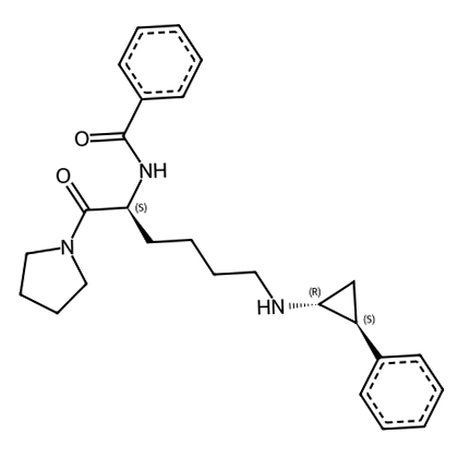 O=C(N[C@@H](CCCCN[C@@H]1C[C@H]1c1ccccc1)C(=O)N1CCCC1)c1ccccc1